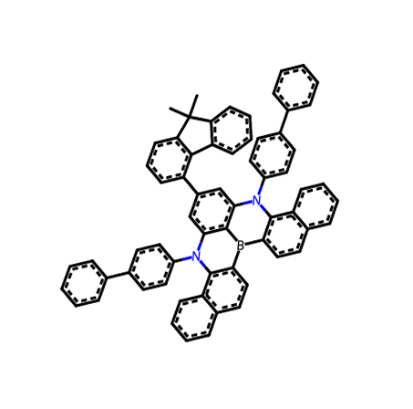 CC1(C)c2ccccc2-c2c(-c3cc4c5c(c3)N(c3ccc(-c6ccccc6)cc3)c3c(ccc6ccccc36)B5c3ccc5ccccc5c3N4c3ccc(-c4ccccc4)cc3)cccc21